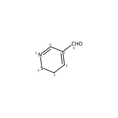 O=CC1=CCSN=C1